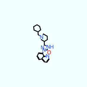 O=c1[nH]c(C2CCCN(CC3CCCCC3)C2)nn1-c1cccc2cccnc12